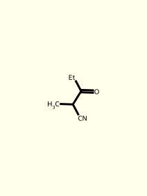 CCC(=O)C(C)C#N